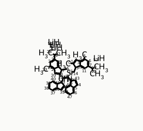 CC1=Cc2c(C)cc(C(C)C)cc2C1C[SiH](CC1C(C)=Cc2c(C)cc(C(C)C)cc21)C(CC1C=Cc2ccccc21)C1C=Cc2ccccc21.[LiH].[LiH].[LiH].[LiH]